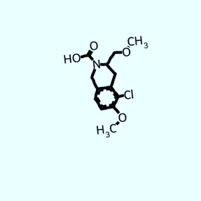 COCC1Cc2c(ccc(OC)c2Cl)CN1C(=O)O